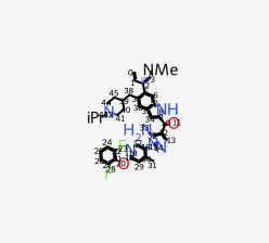 C=C/C(=C\NC)c1cc2[nH]c(C(=O)c3cnn(-c4cnc(Oc5c(F)cccc5F)cc4C)c3N)cc2cc1CC1CCN(C(C)C)CC1